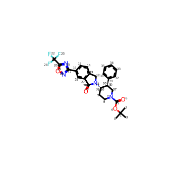 CC(C)(C)OC(=O)N1CC[C@H](N2Cc3ccc(-c4noc(C(F)(F)F)n4)cc3C2=O)[C@@H](c2ccccc2)C1